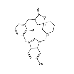 N#Cc1ccc2ncn(C[C@H]3CCC[C@]4(C3)CN(Cc3cccc(Cl)c3F)C(=O)O4)c2c1